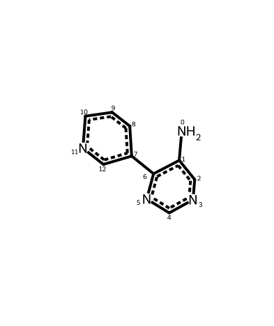 Nc1cncnc1-c1cccnc1